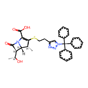 C[C@@H](O)[C@H]1C(=O)N2C(C(=O)O)=C(SCCc3cn(C(c4ccccc4)(c4ccccc4)c4ccccc4)nn3)[C@H](C)[C@H]12